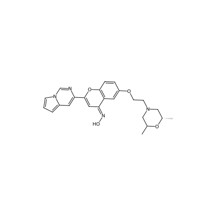 CC1CN(CCOc2ccc3oc(-c4cc5cccn5cn4)c/c(=N\O)c3c2)C[C@H](C)O1